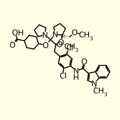 COC[C@@]1(OC)CCCN1C(OC1CCC(C(=O)O)CC1)(C(=O)Cc1cc(Cl)c(NC(=O)c2cn(C)c3ccccc23)cc1Cl)N1CCCC1